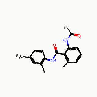 Cc1cc(C(F)(F)F)ccc1NC(=O)c1c(C)cccc1NC(=O)C(C)C